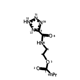 CCCC(=O)OCCNC(=O)c1nn[nH]n1